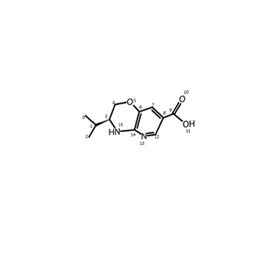 CC(C)[C@H]1COc2cc(C(=O)O)cnc2N1